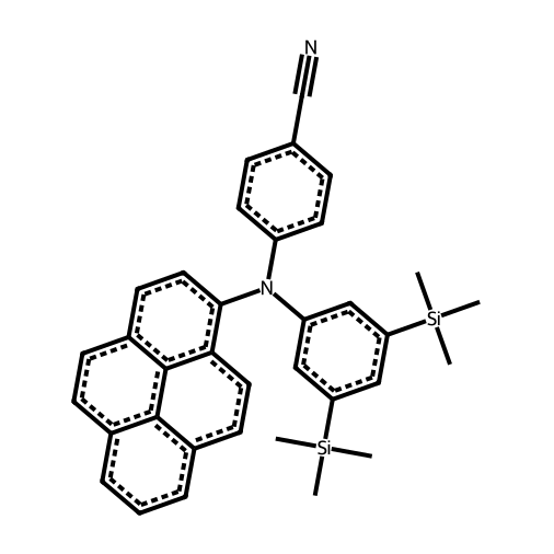 C[Si](C)(C)c1cc(N(c2ccc(C#N)cc2)c2ccc3ccc4cccc5ccc2c3c45)cc([Si](C)(C)C)c1